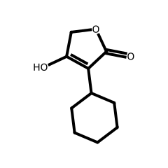 O=C1OCC(O)=C1C1CCCCC1